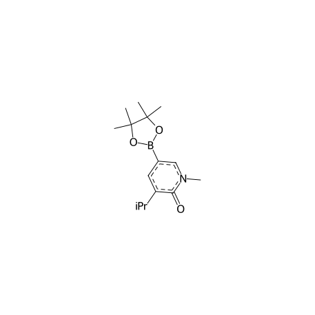 CC(C)c1cc(B2OC(C)(C)C(C)(C)O2)cn(C)c1=O